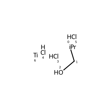 CC(C)CO.Cl.Cl.Cl.[Ti]